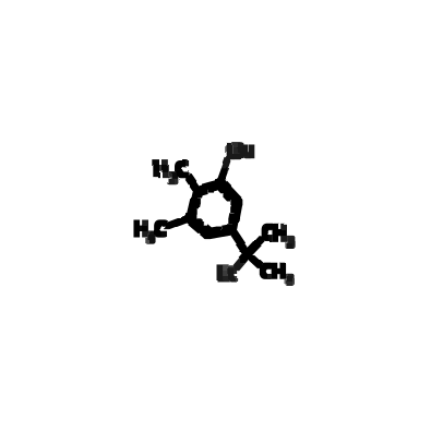 CCC(C)(C)c1cc(C)c(C)c(C(C)(C)C)c1